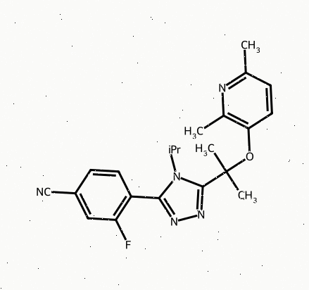 Cc1ccc(OC(C)(C)c2nnc(-c3ccc(C#N)cc3F)n2C(C)C)c(C)n1